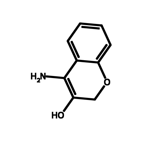 NC1=C(O)COc2ccccc21